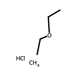 C.CCOCC.Cl